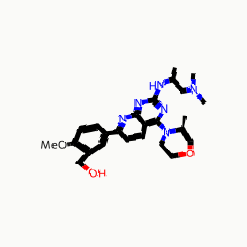 COc1ccc(-c2ccc3c(N4CCOC[C@@H]4C)nc(NC(C)CN(C)C)nc3n2)cc1CO